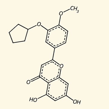 COc1ccc(-c2cc(=O)c3c(O)cc(O)cc3o2)cc1OC1CCCC1